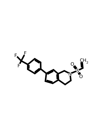 C=CS(=O)(=O)N1CCc2ccc(-c3ccc(C(F)(F)F)cc3)cc2C1